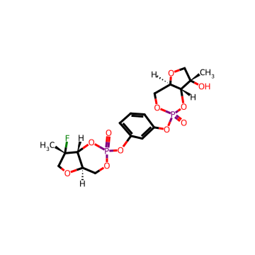 C[C@]1(O)CO[C@@H]2COP(=O)(Oc3cccc(OP4(=O)OC[C@H]5OC[C@](C)(F)[C@@H]5O4)c3)O[C@H]21